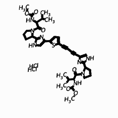 COC(=O)NC(C(=O)N1CCCC1c1nc(-c2ccc(C#CC#Cc3c[nH]c(C4CCCN4C(=O)[C@@H](NC(=O)OC)C(C)C)n3)s2)c[nH]1)C(C)C.Cl.Cl